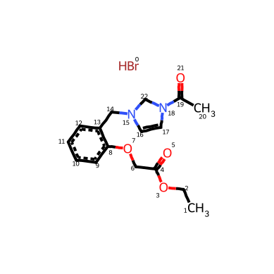 Br.CCOC(=O)COc1ccccc1CN1C=CN(C(C)=O)C1